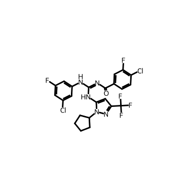 O=C(/N=C(/Nc1cc(F)cc(Cl)c1)Nc1cc(C(F)(F)F)nn1C1CCCC1)c1ccc(Cl)c(F)c1